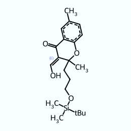 Cc1ccc2c(c1)C(=O)/C(=C/O)C(C)(CCCO[Si](C)(C)C(C)(C)C)O2